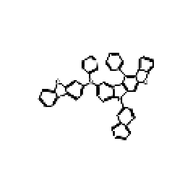 c1ccc(-c2c3c(cc4c2c2cc(N(c5ccccc5)c5ccc6c(c5)oc5ccccc56)ccc2n4-c2ccc4ccccc4c2)oc2ccccc23)cc1